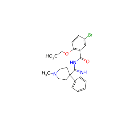 CN1CCC(C(=N)NC(=O)c2cc(Br)ccc2OCC(=O)O)(c2ccccc2)CC1